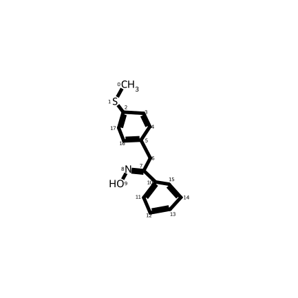 CSc1ccc(CC(=NO)c2ccccc2)cc1